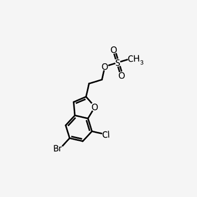 CS(=O)(=O)OCCc1cc2cc(Br)cc(Cl)c2o1